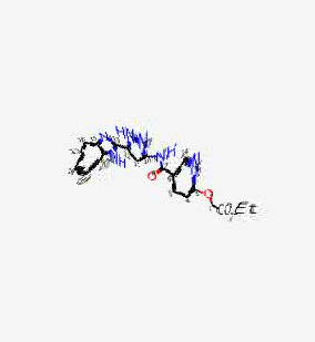 CCOC(=O)COc1ccc(C(=O)Nc2cc(-c3nc4ccccc4[nH]3)[nH]n2)cn1